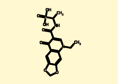 CCn1cc(C(=O)NC(C)P(=O)(O)O)c(=O)c2cc3c(cc21)OCO3